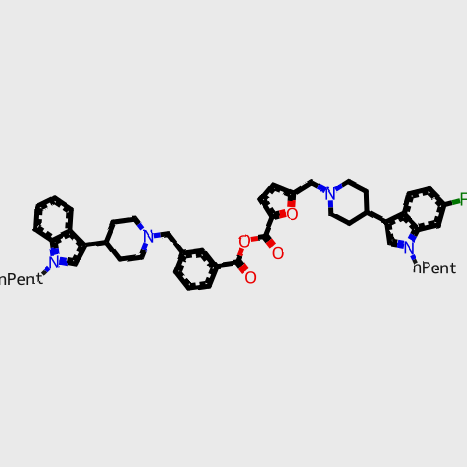 CCCCCn1cc(C2CCN(Cc3cccc(C(=O)OC(=O)c4ccc(CN5CCC(c6cn(CCCCC)c7cc(F)ccc67)CC5)o4)c3)CC2)c2ccccc21